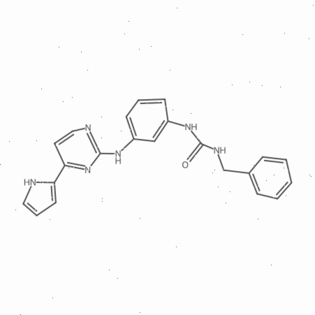 O=C(NCc1ccccc1)Nc1cccc(Nc2nccc(-c3ccc[nH]3)n2)c1